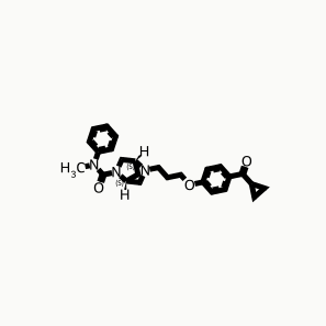 CN(C(=O)N1C[C@@H]2C[C@H]1CN2CCCOc1ccc(C(=O)C2CC2)cc1)c1ccccc1